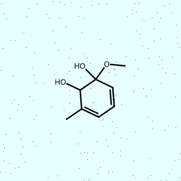 COC1(O)C=CC=C(C)C1O